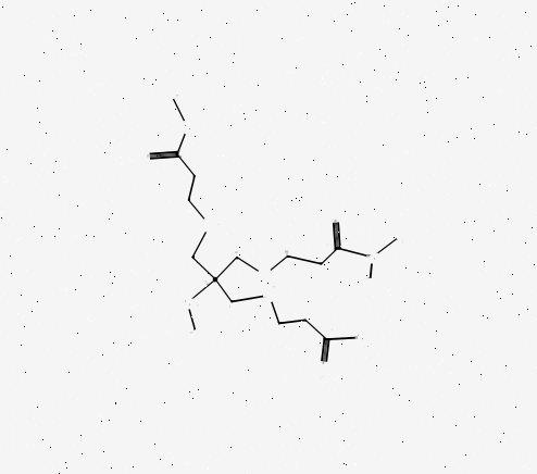 CNC(=O)CCOCC(COCCC(N)=O)(COCCC(=O)N(C)C)NC